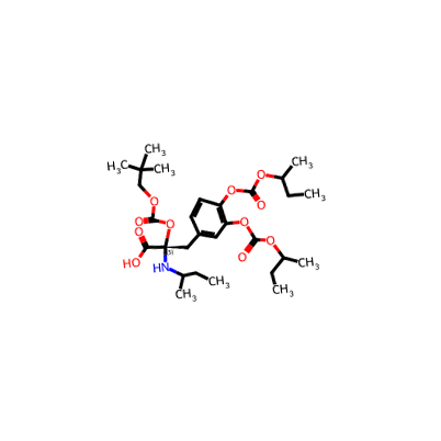 CCC(C)N[C@@](Cc1ccc(OC(=O)OC(C)CC)c(OC(=O)OC(C)CC)c1)(OC(=O)OCC(C)(C)C)C(=O)O